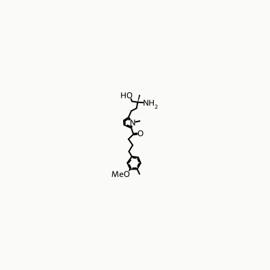 COc1cc(CCCC(=O)c2ccc(CC[C@@](C)(N)CO)n2C)ccc1C